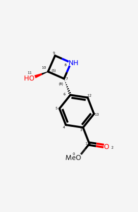 COC(=O)c1ccc([C@H]2NC[C@@H]2O)cc1